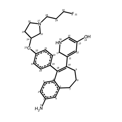 Nc1ccc2c(c1)CCCC(C1=CC(O)=CNC1)=C2c1ccc(OC2CCN(CCCF)C2)cc1